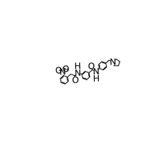 O=C(Cc1ccccc1[N+](=O)[O-])Nc1cccc(C(=O)Nc2ccc(CN3CCCC3)cc2)c1